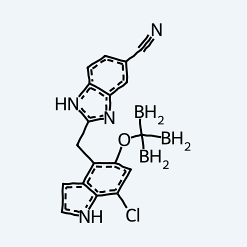 BC(B)(B)Oc1cc(Cl)c2[nH]ccc2c1Cc1nc2cc(C#N)ccc2[nH]1